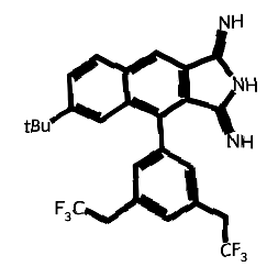 CC(C)(C)c1ccc2cc3c(c(-c4cc(CC(F)(F)F)cc(CC(F)(F)F)c4)c2c1)C(=N)NC3=N